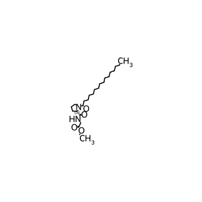 CCCCCCCCCCCCCCCC(=O)N1CCC[C@H]1C(=O)NCC(=O)OCC